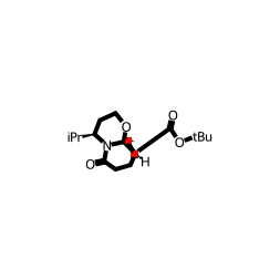 CC(C)[C@H]1CCO[C@]23CCN(C(=O)OC(C)(C)C)C[C@H]2CCC(=O)N13